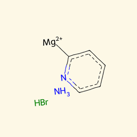 Br.N.[Mg+2][c]1ccccn1